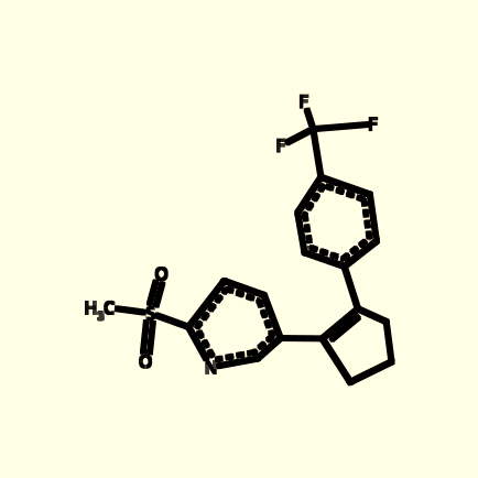 CS(=O)(=O)c1ccc(C2=C(c3ccc(C(F)(F)F)cc3)CCC2)cn1